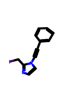 ICc1nccn1C#Cc1ccccc1